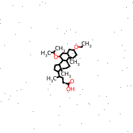 CCOC1CCC2(C)C(C1)CC(OC(C)C)C1C2CCC2(C)C(C(C)CCC(=O)O)CCC12